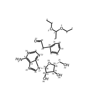 CCOC(C)OCC.Nc1ncnc2c1ncn2[C@@H]1O[C@H](CO)[C@@H](O)[C@H]1O.O=CCc1ccccc1